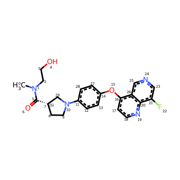 CN(CCO)C(=O)[C@H]1CCN(c2ccc(Oc3ccnc4c(F)cncc34)cc2)C1